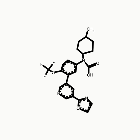 CC1CCC(N(C(=O)O)c2ccc(OC(F)(F)F)c(-c3cncc(-c4ncco4)c3)c2)CC1